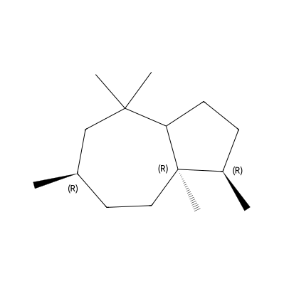 C[C@@H]1CC[C@@]2(C)C(CC[C@H]2C)C(C)(C)C1